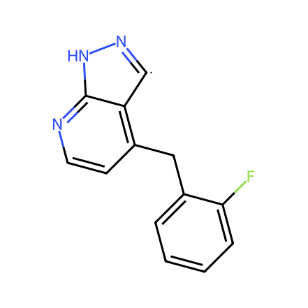 Fc1ccccc1Cc1ccnc2[nH]n[c]c12